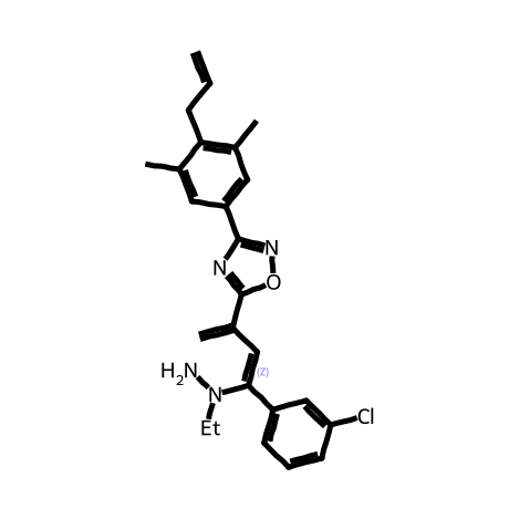 C=CCc1c(C)cc(-c2noc(C(=C)/C=C(/c3cccc(Cl)c3)N(N)CC)n2)cc1C